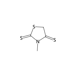 CN1C(=S)CSC1=S